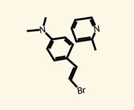 CN(C)c1ccc(C=CBr)cc1.Cc1ccccn1